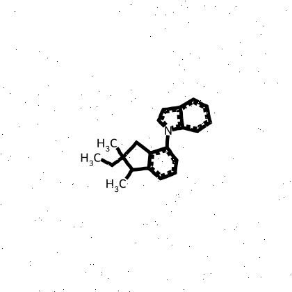 CCC1(C)Cc2c(cccc2-n2ccc3ccccc32)C1C